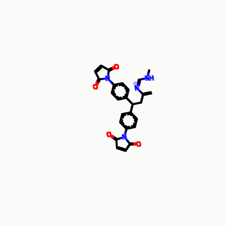 C=C(CC(c1ccc(N2C(=O)C=CC2=O)cc1)c1ccc(N2C(=O)C=CC2=O)cc1)/N=C\NC